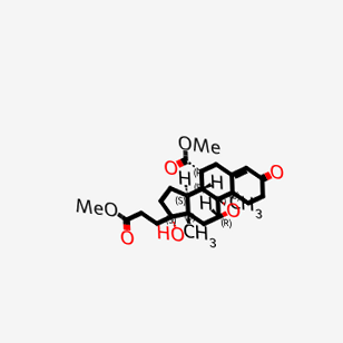 COC(=O)CC[C@@]1(O)CC[C@H]2[C@@H]3[C@H](C(=O)OC)CC4=CC(=O)CC[C@]4(C)[C@]34O[C@@H]4C[C@@]21C